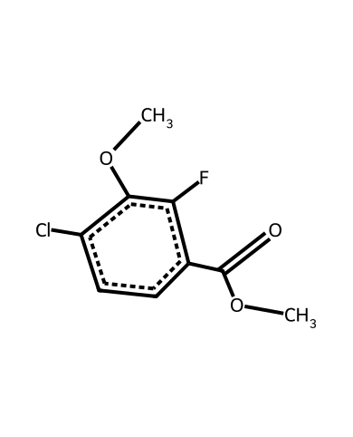 COC(=O)c1ccc(Cl)c(OC)c1F